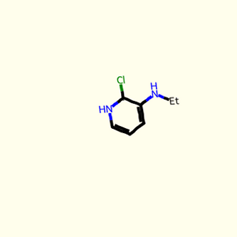 CCNC1=CC=CN[C]1Cl